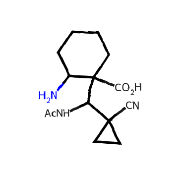 CC(=O)NC(C1(C#N)CC1)C1(C(=O)O)CCCCC1N